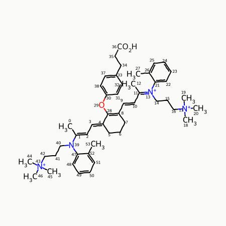 C/C(=C\C=C1/CCCC(/C=C/C(C)=[N+](\CCC[N+](C)(C)C)c2ccccc2C)=C1Oc1ccc(CCC(=O)O)cc1)N(CCC[N+](C)(C)C)c1ccccc1C